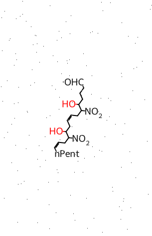 CCCCC/C=C\CC(C(O)C/C=C\CC(C(O)CCC[C]=O)[N+](=O)[O-])[N+](=O)[O-]